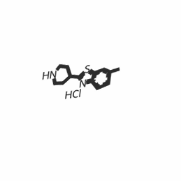 Cc1ccc2nc(C3CCNCC3)sc2c1.Cl